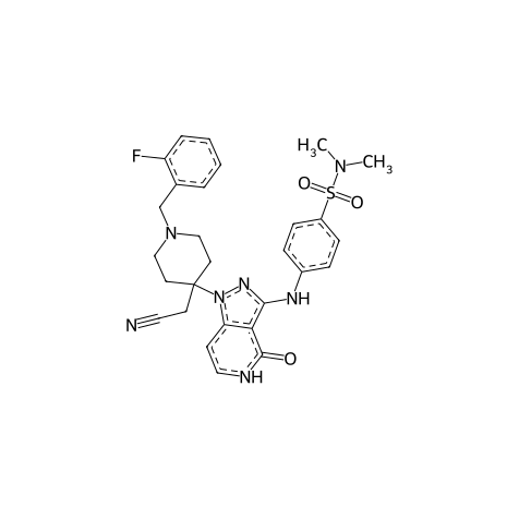 CN(C)S(=O)(=O)c1ccc(Nc2nn(C3(CC#N)CCN(Cc4ccccc4F)CC3)c3cc[nH]c(=O)c23)cc1